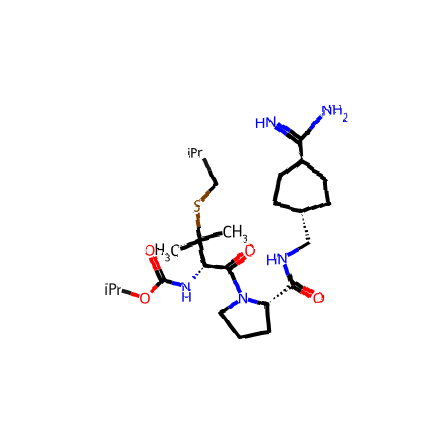 CC(C)CSC(C)(C)[C@@H](NC(=O)OC(C)C)C(=O)N1CCC[C@H]1C(=O)NC[C@H]1CC[C@H](C(=N)N)CC1